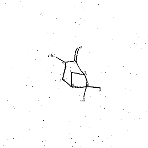 C=C1[C]2CC(CC1O)C2(C)C